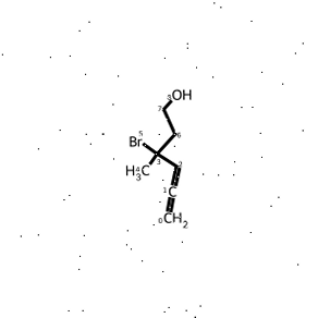 C=C=CC(C)(Br)CCO